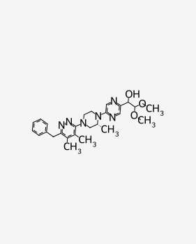 COC(OC)C(O)c1cnc(N2CCN(c3nnc(Cc4ccccc4)c(C)c3C)C[C@H]2C)cn1